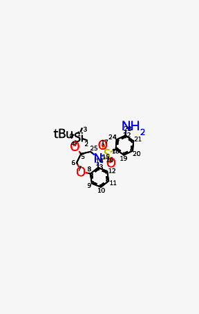 CC(C)(C)[Si](C)(C)OC1COc2ccccc2N(S(=O)(=O)c2cccc(N)c2)C1